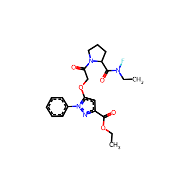 CCOC(=O)c1cc(OCC(=O)N2CCCC2C(=O)N(F)CC)n(-c2ccccc2)n1